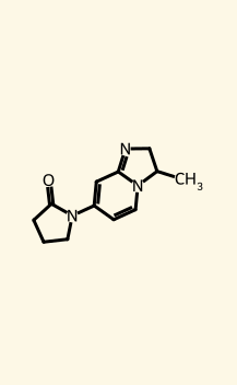 CC1CN=C2C=C(N3CCCC3=O)C=CN21